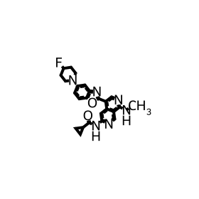 CNc1ncc(-c2nc3cc(N4CCC(F)CC4)ccc3o2)c2cc(NC(=O)C3CC3)ncc12